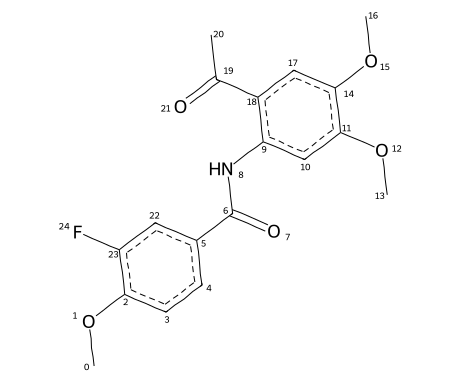 COc1ccc(C(=O)Nc2cc(OC)c(OC)cc2C(C)=O)cc1F